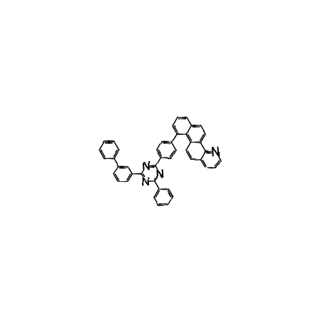 c1ccc(-c2cccc(-c3nc(-c4ccccc4)nc(-c4ccc(-c5cccc6ccc7c(ccc8cccnc87)c56)cc4)n3)c2)cc1